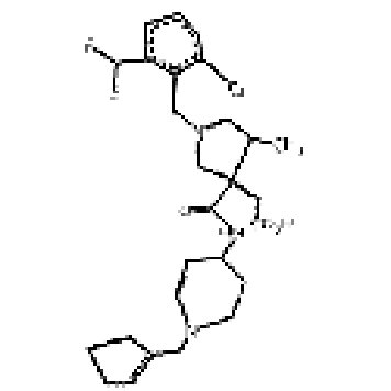 CC1CN(Cc2c(Cl)cccc2C(F)F)CC1(CC(=O)O)C(=O)NC1CCN(CC2=CCCC2)CC1